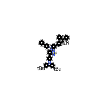 CC(C)(C)c1ccc2c(c1)c1cc(C(C)(C)C)ccc1n2-c1ccc(-c2ccc(N(c3ccc(-c4ccccc4)cc3)c3ccc(-c4ccc(C(C#N)=C(c5ccccc5)c5ccccc5)cc4)cc3)c3nsnc23)cc1